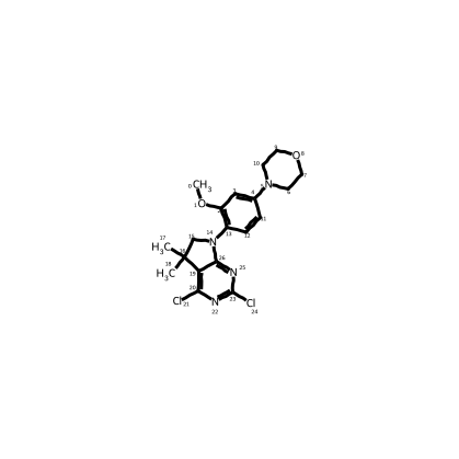 COc1cc(N2CCOCC2)ccc1N1CC(C)(C)c2c(Cl)nc(Cl)nc21